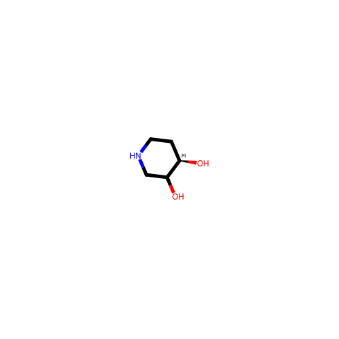 OC1CNCC[C@H]1O